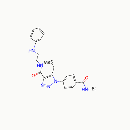 CCNC(=O)c1ccc(-n2nnc(C(=O)NCCNc3ccccc3)c2CSC)cc1